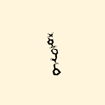 O=C(C=C1CCN(S(=O)(=O)c2ccc(OC(F)(F)F)cc2)CC1)NCc1ccccc1